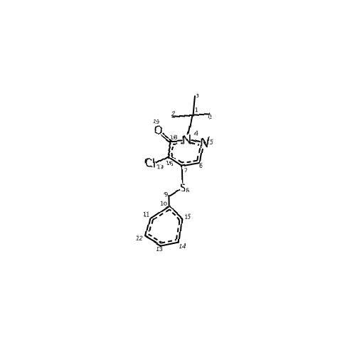 CC(C)(C)n1ncc(SCc2ccccc2)c(Cl)c1=O